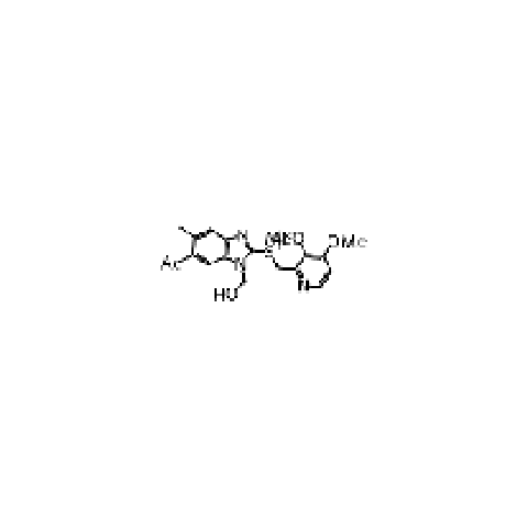 COc1ccnc(C[S+]([O-])c2nc3cc(C)c(C(C)=O)cc3n2CO)c1OC